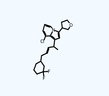 CC(/C=C/CC1CCCC(F)(F)C1)c1cc(C2CCOC2)n2cccc(Cl)c12